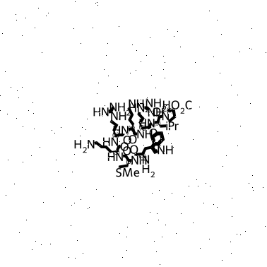 CSCC[C@H](NC(=O)[C@@H](N)Cc1c[nH]c2ccccc12)C(=O)N[C@@H](CCCCN)C(=O)N[C@@H](CCCNC(=N)N)C(=O)N[C@@H](CCCCN)C(=O)N[C@@H](CCCNC(=N)N)C(=O)N[C@@H](CC(C)C)C(=O)N1CCC[C@H]1C(=O)O